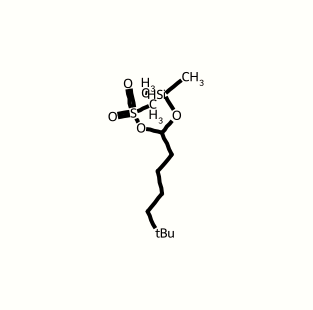 C[SiH](C)OC(CCCCC(C)(C)C)OS(C)(=O)=O